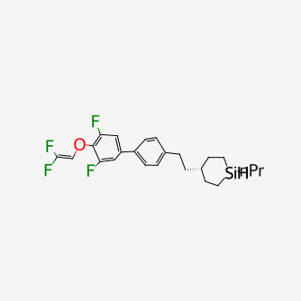 CCC[Si@H]1CC[C@H](CCc2ccc(-c3cc(F)c(OC=C(F)F)c(F)c3)cc2)CC1